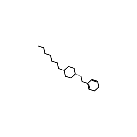 CCCCCCC[C@H]1CC[C@H](CCC2=CCCC=[C]2)CC1